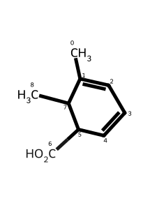 CC1=CC=CC(C(=O)O)C1C